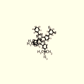 CC(C)(C)c1ccc2c(c1)c1cc(C(C)(C)C)ccc1n2-c1ccc(-c2cc(F)cc(F)c2)cc1-c1nc(-c2ccccc2)nc(-c2ccccc2)n1